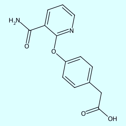 NC(=O)c1cccnc1Oc1ccc(CC(=O)O)cc1